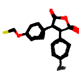 CC(=O)Oc1ccc(C2=C(c3ccc(OC=S)cc3)C(=O)OC2=O)cc1